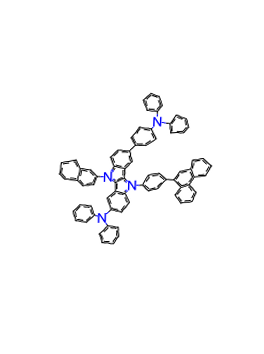 c1ccc(N(c2ccccc2)c2ccc(-c3ccc4c(c3)c3c(c5cc(N(c6ccccc6)c6ccccc6)ccc5n3-c3ccc(-c5cc6ccccc6c6ccccc56)cc3)n4-c3ccc4ccccc4c3)cc2)cc1